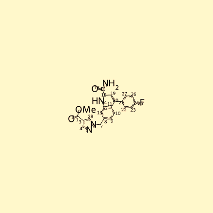 COC(=O)c1cnn(Cc2ccc3c(c2)NC(C(N)=O)C=C3c2ccc(F)cc2)c1